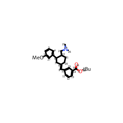 COc1cccc(C2C/C(=C/c3cccc(C(=O)OC(C)(C)C)c3)CCC2CN(C)C)c1